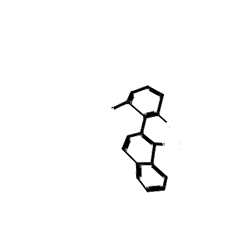 Oc1c(-c2c(Cl)cccc2Cl)ccc2ccccc12